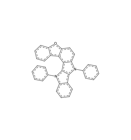 c1ccc(-n2c3ccc4oc5ccccc5c4c3c3c2c2ccccc2n3-c2ccccc2)cc1